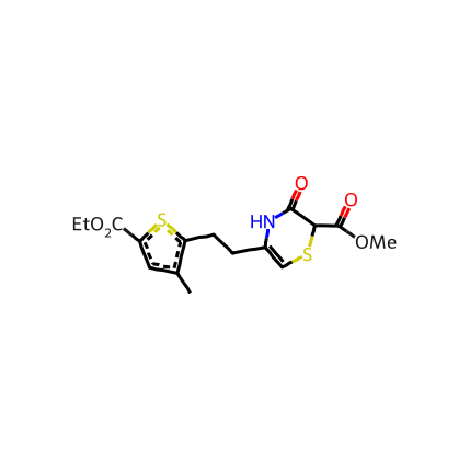 CCOC(=O)c1cc(C)c(CCC2=CSC(C(=O)OC)C(=O)N2)s1